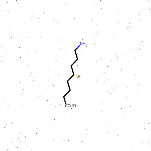 Br.CCOC(=O)CCCCCCCN